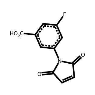 O=C(O)c1cc(F)cc(N2C(=O)C=CC2=O)c1